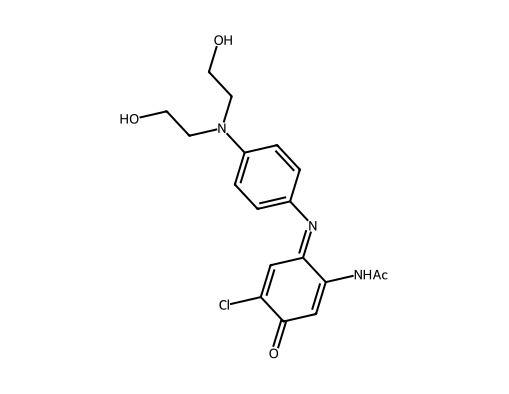 CC(=O)NC1=CC(=O)C(Cl)=CC1=Nc1ccc(N(CCO)CCO)cc1